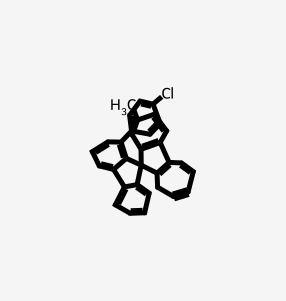 CC1C=CC2=C(C1)C1(C3=C2C=CC#CC3)c2ccccc2-c2cccc(-c3ccc(Cl)cc3)c21